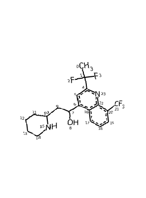 CC(F)(F)c1cc(C(O)CC2CCCCN2)c2cccc(C(F)(F)F)c2n1